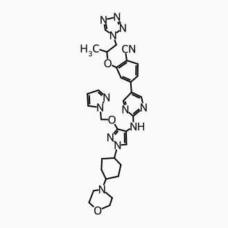 CC(Cn1cnnn1)Oc1cc(-c2cnc(Nc3cn(C4CCC(N5CCOCC5)CC4)nc3OCn3cccn3)nc2)ccc1C#N